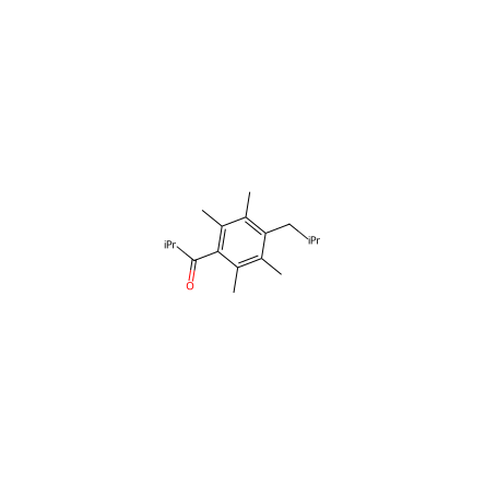 Cc1c(C)c(C(=O)C(C)C)c(C)c(C)c1CC(C)C